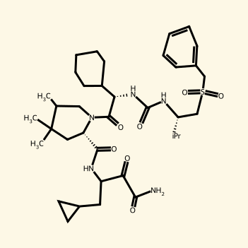 CC(C)[C@@H](CS(=O)(=O)Cc1ccccc1)NC(=O)N[C@H](C(=O)N1CC(C)C(C)(C)C[C@H]1C(=O)NC(CC1CC1)C(=O)C(N)=O)C1CCCCC1